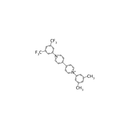 Cc1cc(C)cc(-[n+]2ccc(-c3cc[n+](-c4cc(C(F)(F)F)cc(C(F)(F)F)c4)cc3)cc2)c1